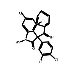 CC(C)N1C(=O)C(C(=N)c2ccccc2)(c2ccc(Cl)c(Cl)c2)c2c(Cl)cc(Cl)cc21